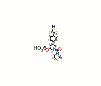 CC(F)(F)c1ccc(C2CC(OC(=O)O)CN(C(=O)N3CCSCC3)C2)cc1